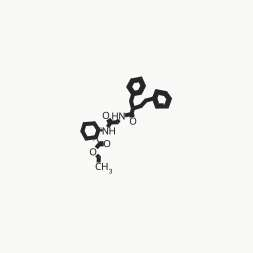 CCOC(=O)[C@@H]1CCCC[C@H]1NC(=O)CNC(=O)C(CCc1ccccc1)Cc1ccccc1